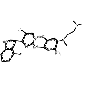 COc1cc(N(C)CCN(C)C)c(N)cc1Nc1ncc(Cl)c(-c2c[nH]c3cccc(F)c23)n1